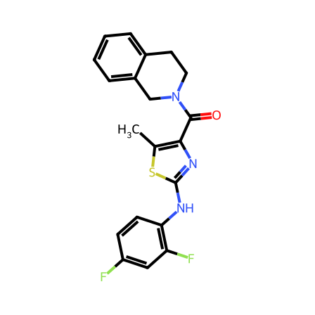 Cc1sc(Nc2ccc(F)cc2F)nc1C(=O)N1CCc2ccccc2C1